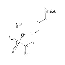 CCCCCCCCCCCCC(CC)S(=O)(=O)[O-].[Na+]